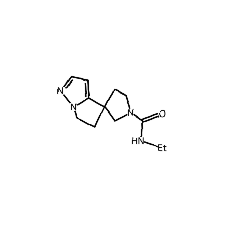 CCNC(=O)N1CCC2(CCn3nccc32)C1